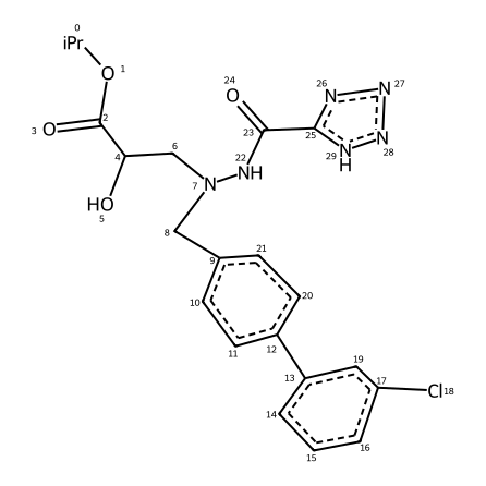 CC(C)OC(=O)C(O)CN(Cc1ccc(-c2cccc(Cl)c2)cc1)NC(=O)c1nnn[nH]1